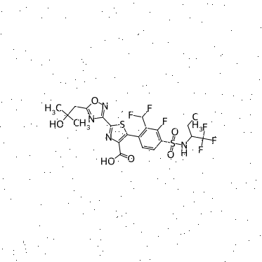 CCC(NS(=O)(=O)c1ccc(-c2sc(-c3noc(CC(C)(C)O)n3)nc2C(=O)O)c(C(F)F)c1F)C(F)(F)F